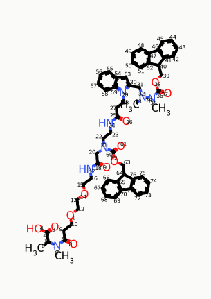 CC(C(=O)O)N(C)C(=O)CCOCCOCCNC(=O)CN(CCNC(=O)CCn1c(CN(C)N(C)C(=O)OCC2c3ccccc3-c3ccccc32)cc2ccccc21)C(=O)OCC1c2ccccc2-c2ccccc21